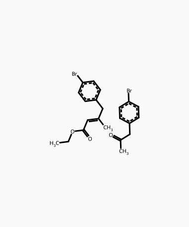 CC(=O)Cc1ccc(Br)cc1.CCOC(=O)C=C(C)Cc1ccc(Br)cc1